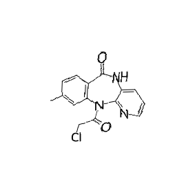 Cc1ccc2c(c1)N(C(=O)CCl)c1ncccc1NC2=O